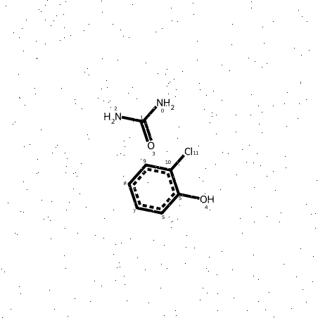 NC(N)=O.Oc1ccccc1Cl